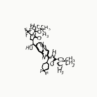 CC(C)(C)OC(=O)N[C@H](c1cn2ncc(C(O)C3CC(C(F)(F)F)N(C(=O)OC(C)(C)C)C3=O)cc2n1)C1CCC(F)(F)CC1